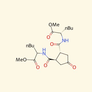 CCCCC(NC(=O)[C@@H]1CC(=O)C[C@H]1C(=O)N[C@@H](CCCC)C(=O)OC)C(=O)OC